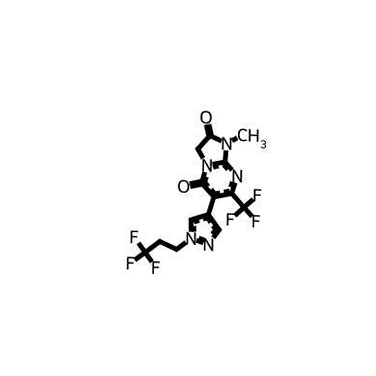 CN1C(=O)Cn2c1nc(C(F)(F)F)c(-c1cnn(CCC(F)(F)F)c1)c2=O